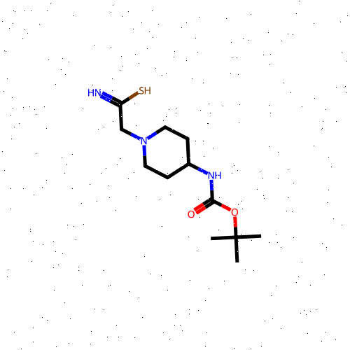 CC(C)(C)OC(=O)NC1CCN(CC(=N)S)CC1